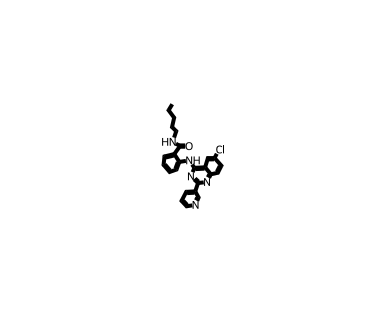 CCCCCNC(=O)c1ccccc1Nc1nc(-c2cccnc2)nc2ccc(Cl)cc12